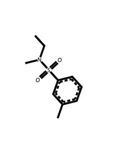 CCN(C)S(=O)(=O)c1cccc(C)c1